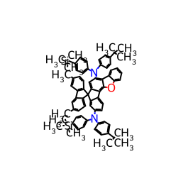 Cc1ccc2c(c1)-c1cc(C)ccc1C21c2cc(N(c3ccc(C(C)(C)C)cc3)c3ccc([Si](C)(C)C)cc3)ccc2-c2c1cc(N(c1ccc(C(C)(C)C)cc1)c1ccc([Si](C)(C)C)cc1)c1c2oc2ccccc21